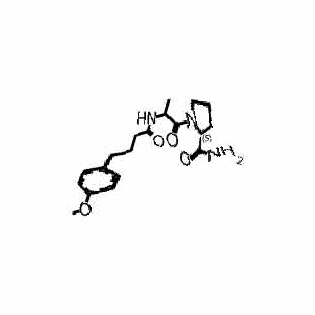 COc1ccc(CCCC(=O)NC(C)C(=O)N2CCC[C@H]2C(N)=O)cc1